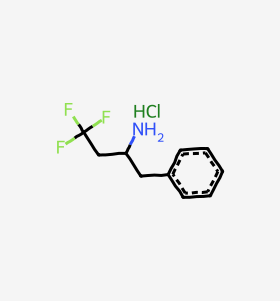 Cl.NC(Cc1ccccc1)CC(F)(F)F